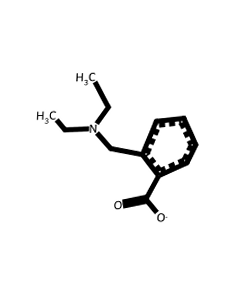 CCN(CC)Cc1ccccc1C([O])=O